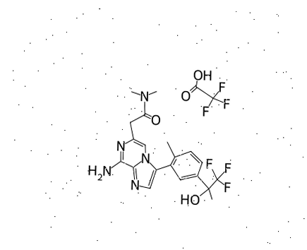 Cc1ccc(C(C)(O)C(F)(F)F)cc1-c1cnc2c(N)nc(CC(=O)N(C)C)cn12.O=C(O)C(F)(F)F